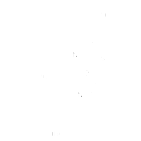 CC(C)(C)c1ccc(N2c3ccccc3B3c4sc5ccc(C(C)(C)C)cc5c4N(c4ccc5c(c4)C(C)(C)CCC5(C)C)c4cc(C(C)(C)C)cc2c43)cc1